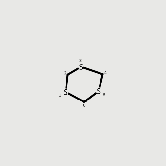 [CH]1SCSCS1